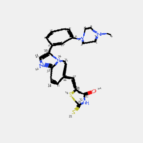 CN1CCN(c2cccc(-c3cnc4ccc(/C=C5\SC(=S)NC5=O)cn34)c2)CC1